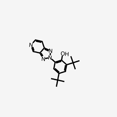 CC(C)(C)c1cc(-n2nc3ccncc3n2)c(O)c(C(C)(C)C)c1